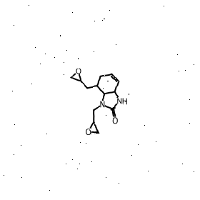 O=C1NC2C=CCC(CC3CO3)C2N1CC1CO1